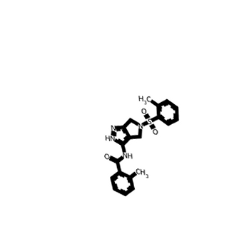 Cc1ccccc1C(=O)Nc1[nH]nc2c1CN(S(=O)(=O)c1ccccc1C)C2